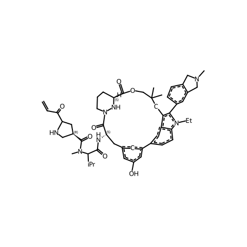 C=CC(=O)C1C[C@@H](C(=O)N(C)C(C(=O)N[C@H]2Cc3cc(O)cc(c3)-c3ccc4c(c3)c(c(-c3ccc5c(c3)CN(C)C5)n4CC)CC(C)(C)COC(=O)[C@@H]3CCCN(N3)C2=O)C(C)C)CN1